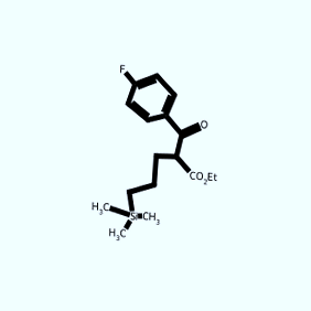 CCOC(=O)C(CCC[Si](C)(C)C)C(=O)c1ccc(F)cc1